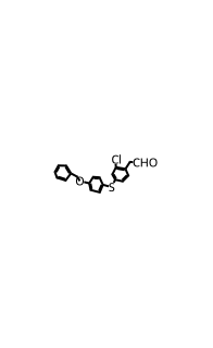 O=CCc1ccc(Sc2ccc(OCc3ccccc3)cc2)cc1Cl